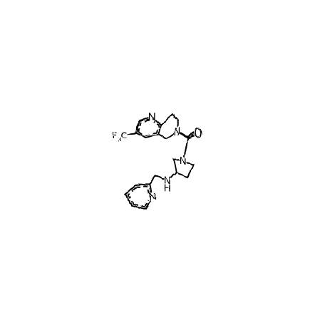 O=C(N1CCc2ncc(C(F)(F)F)cc2C1)N1CCC(NCc2ccccn2)C1